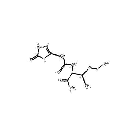 COC(=O)[C@@H](NC(=O)Nc1n[nH]c(=S)s1)C(C)OOC(C)(C)C